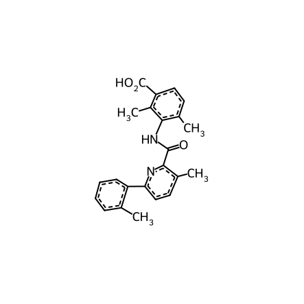 Cc1ccccc1-c1ccc(C)c(C(=O)Nc2c(C)ccc(C(=O)O)c2C)n1